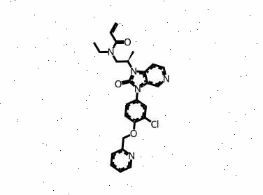 C=CC(=O)N(CC)C[C@@H](C)n1c(=O)n(-c2ccc(OCc3ccccn3)c(Cl)c2)c2cnccc21